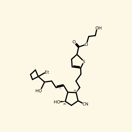 CCC1(C(O)C/C=C/C2[C@@H](CCCC3=CCC(C(=O)OCCO)S3)C(C#N)C[C@H]2O)CCC1